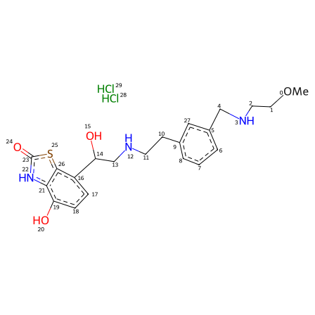 COCCNCc1cccc(CCNCC(O)c2ccc(O)c3[nH]c(=O)sc23)c1.Cl.Cl